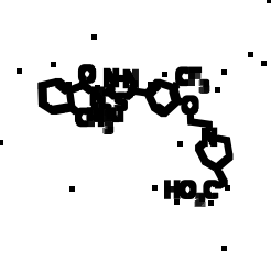 CCCCN(C(=O)c1ccccc1C)c1nnc(-c2ccc(OCCN3CCC(CC(=O)O)CC3)c(C(F)(F)F)c2)s1